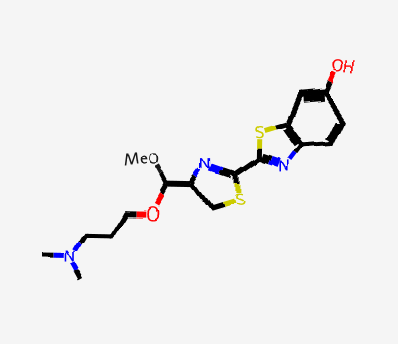 COC(OCCCN(C)C)C1CSC(c2nc3ccc(O)cc3s2)=N1